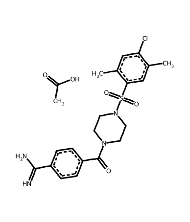 CC(=O)O.Cc1cc(S(=O)(=O)N2CCN(C(=O)c3ccc(C(=N)N)cc3)CC2)c(C)cc1Cl